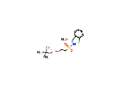 C[C@@H](NS(=O)(=O)CCCOCC(C)(C)C)c1ccccc1Cl